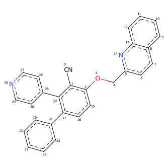 N#Cc1c(OCc2ccc3ccccc3n2)ccc(-c2ccccc2)c1-c1ccncc1